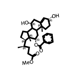 COC(=O)CC[C@@H](C)[C@H]1CCC2C3C(C[C@H](OC(=O)c4ccccc4)[C@@]21C)[C@@]1(C)CC[C@@H](O)C=C1C[C@H]3O